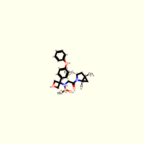 CCOC(=O)[C@@H]1C[C@]2(C)C[C@@H]2N1C(=O)CN([S+]([O-])C(C)(C)C)C1(c2ccc(Oc3ccccc3)cc2)COC1